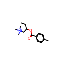 CCC(C[N+](C)(C)C)OC(=O)c1ccc(C)cc1